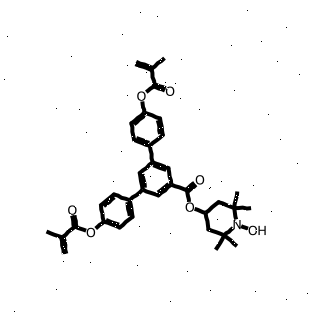 C=C(C)C(=O)Oc1ccc(-c2cc(C(=O)OC3CC(C)(C)N(O)C(C)(C)C3)cc(-c3ccc(OC(=O)C(=C)C)cc3)c2)cc1